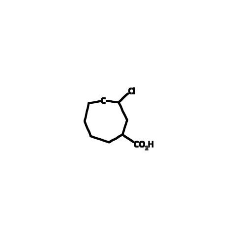 O=C(O)C1CCCCCC(Cl)C1